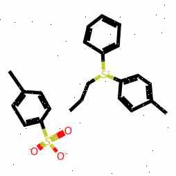 CCC[S+](c1ccccc1)c1ccc(C)cc1.Cc1ccc(S(=O)(=O)[O-])cc1